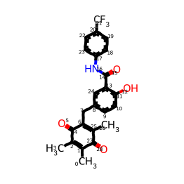 CC1=C(C)C(=O)C(Cc2ccc(O)c(C(=O)Nc3ccc(C(F)(F)F)cc3)c2)=C(C)C1=O